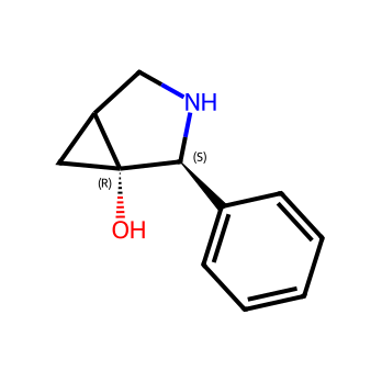 O[C@]12CC1CN[C@H]2c1ccccc1